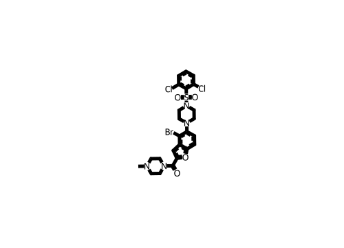 CN1CCN(C(=O)c2cc3c(Br)c(N4CCN(S(=O)(=O)c5c(Cl)cccc5Cl)CC4)ccc3o2)CC1